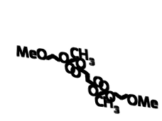 COCCCOC(=O)C(C)OC(=O)/C=C/C(=O)OC(C)C(=O)OCCCOC